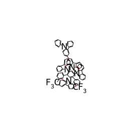 FC(F)(F)c1cccc(-c2c(-n3c4ccccc4c4ccccc43)c(-c3cccc(C(F)(F)F)c3)c(-n3c4ccccc4c4ccccc43)c(-n3c4ccccc4c4cc(-c5ccc6c(c5)c5ccccc5n6-c5ccccc5)ccc43)c2-n2c3ccccc3c3ccccc32)c1